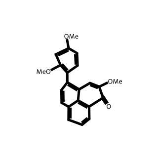 COC1=Cc2c(-c3ccc(OC)cc3OC)ccc3cccc(c23)C1=O